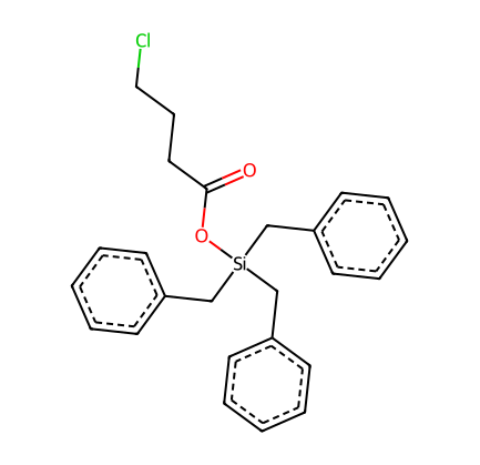 O=C(CCCCl)O[Si](Cc1ccccc1)(Cc1ccccc1)Cc1ccccc1